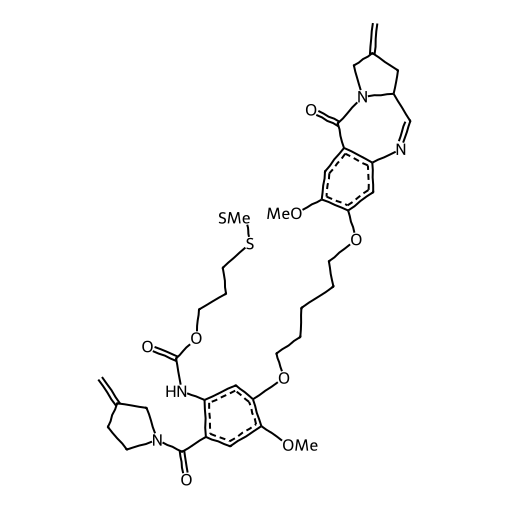 C=C1CCN(C(=O)c2cc(OC)c(OCCCCCOc3cc4c(cc3OC)C(=O)N3CC(=C)CC3C=N4)cc2NC(=O)OCCCSSC)C1